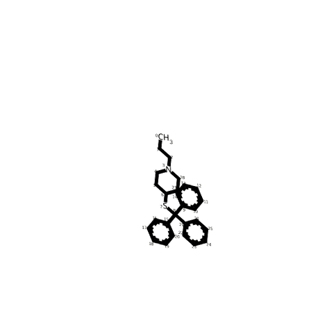 CCCN1CCC(SC(c2ccccc2)(c2ccccc2)c2ccccc2)CC1